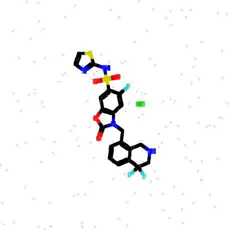 Cl.O=c1oc2cc(S(=O)(=O)Nc3nccs3)c(F)cc2n1Cc1cccc2c1CNCC2(F)F